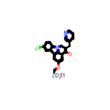 CCOC(=O)COc1cc2c(=O)c(Cc3cccnc3)cn3c4ccc(Cl)cc4c(c1)c23